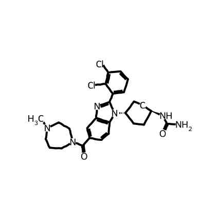 CN1CCCN(C(=O)c2ccc3c(c2)nc(-c2cccc(Cl)c2Cl)n3[C@H]2CC[C@H](NC(N)=O)CC2)CC1